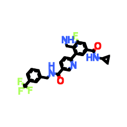 NCc1c(F)cc(C(=O)NC2CC2)cc1-c1ccc(C(=O)NCc2cccc(C(F)(F)F)c2)cn1